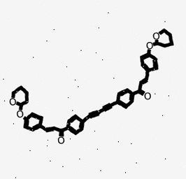 O=C(/C=C/c1ccc(OC2CCCCO2)cc1)c1ccc(C#CC#Cc2ccc(C(=O)/C=C/c3ccc(OC4CCCCO4)cc3)cc2)cc1